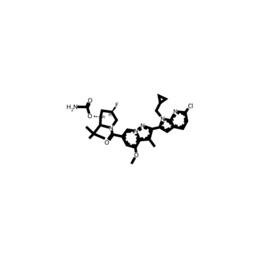 COc1cc(C(=O)N2C[C@H](F)C[C@@H](OC(N)=O)C2C(C)(C)C)cn2nc(-c3cc4ccc(Cl)nc4n3CC3CC3)c(C)c12